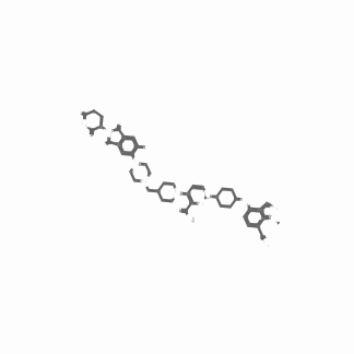 Cn1ncc2c(OC3CCC(N4C=CC(N5CCC(CN6CCN(c7cc8c(cc7F)C(=O)N(C7CCC(=O)NC7=O)C8=O)CC6)CC5)=C(C(N)=O)N4)CC3)ccc(C#N)c21